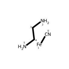 N#[C][Fe].NCCN